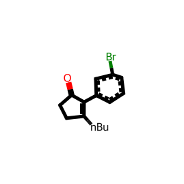 CCCCC1=C(c2cccc(Br)c2)C(=O)CC1